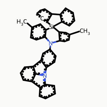 Cc1ccc2c(c1)[Si]1(c3ccccc3-c3ccccc31)c1cc(C)ccc1N2c1ccc2c(c1)c1cccc3c4ccccc4n2c31